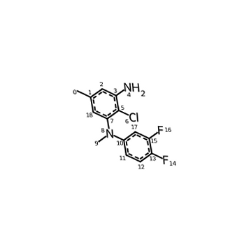 Cc1cc(N)c(Cl)c(N(C)c2ccc(F)c(F)c2)c1